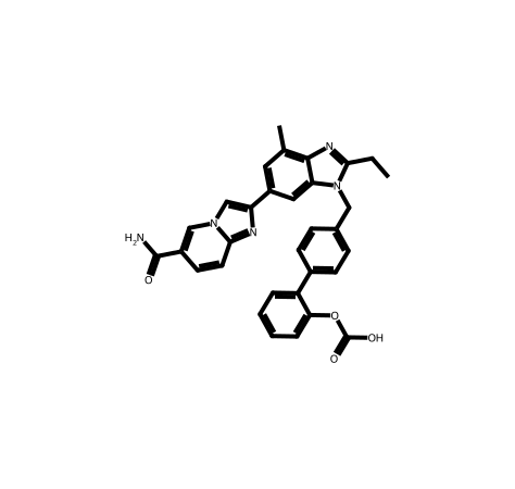 CCc1nc2c(C)cc(-c3cn4cc(C(N)=O)ccc4n3)cc2n1Cc1ccc(-c2ccccc2OC(=O)O)cc1